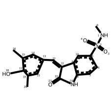 CNS(=O)(=O)c1ccc2c(c1)C(=Cc1cc(C)c(O)c(C)c1)C(=O)N2